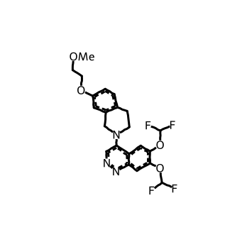 COCCOc1ccc2c(c1)CN(c1cnnc3cc(OC(F)F)c(OC(F)F)cc13)CC2